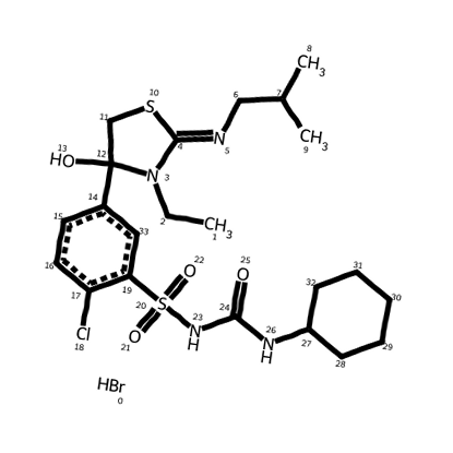 Br.CCN1C(=NCC(C)C)SCC1(O)c1ccc(Cl)c(S(=O)(=O)NC(=O)NC2CCCCC2)c1